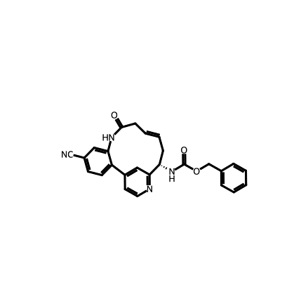 N#Cc1ccc2c(c1)NC(=O)C/C=C/C[C@H](NC(=O)OCc1ccccc1)c1cc-2ccn1